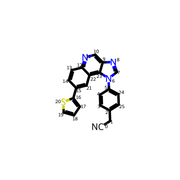 N#CCc1ccc(-n2cnc3cnc4ccc(-c5cccs5)cc4c32)cc1